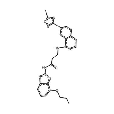 CCCOc1cccc2nc(NC(=O)CCNc3nccc4ccc(-c5noc(C)n5)cc34)sc12